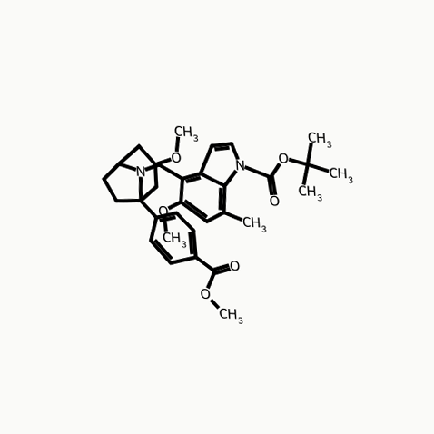 COC(=O)c1ccc(C23CCC(CC(OC)C2)N3Cc2c(OC)cc(C)c3c2ccn3C(=O)OC(C)(C)C)cc1